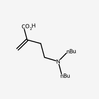 C=C(CCN(CCCC)CCCC)C(=O)O